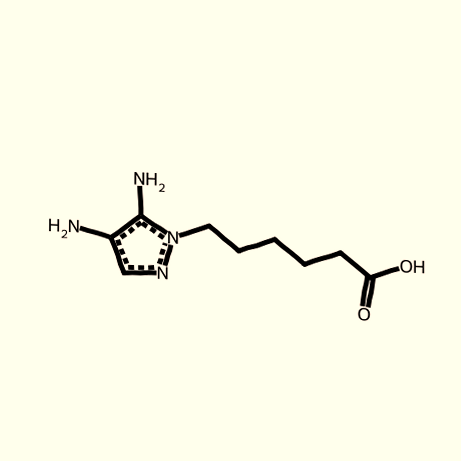 Nc1cnn(CCCCCC(=O)O)c1N